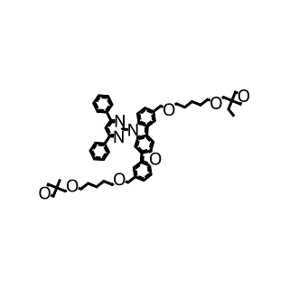 CCC1(COCCCCCOCc2ccc3c(c2)c2cc4oc5ccc(COCCCCCOCC6(C)COC6)cc5c4cc2n3-c2nc(-c3ccccc3)cc(-c3ccccc3)n2)COC1